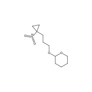 O=[SH](=O)C1(CCCOC2CCCCO2)CC1